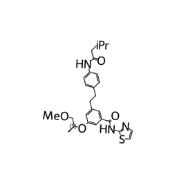 COC[C@H](C)Oc1cc(CCc2ccc(NC(=O)CC(C)C)cc2)cc(C(=O)Nc2nccs2)c1